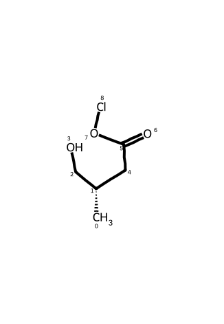 C[C@H](CO)CC(=O)OCl